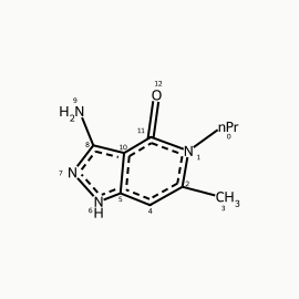 CCCn1c(C)cc2[nH]nc(N)c2c1=O